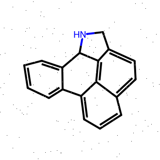 c1ccc2c(c1)-c1cccc3ccc4c(c13)C2NC4